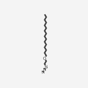 CCCCCCCCCCCCCCCCOCCN=[N+]=[N-]